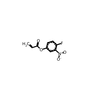 C=CC(=O)Oc1ccc(F)c([N+](=O)[O-])c1